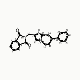 O=C1c2ccccc2C(=O)N1Cc1cn2ccc(-c3ccccc3)cc2n1